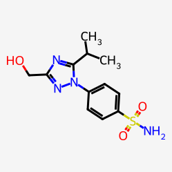 CC(C)c1nc(CO)nn1-c1ccc(S(N)(=O)=O)cc1